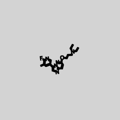 CCN(CC)CCCOc1ccc2ncc(-c3cnc(F)c(C)c3)n2n1